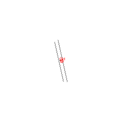 CCCCCCCCCCCCCCCCCCC(CCCCCCCCCCCCCCCC)C(=O)O.CCCCCCCCCCCCCCCCCCOCCCCCCCCCCCCCCCCCC